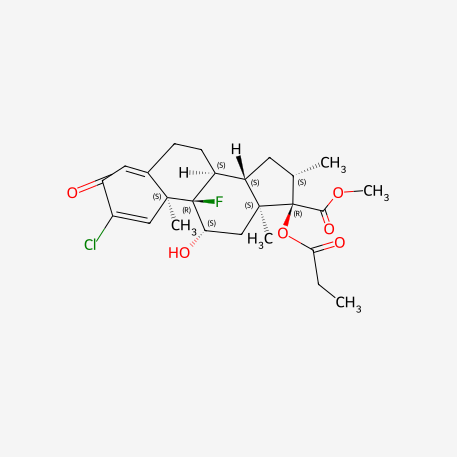 CCC(=O)O[C@]1(C(=O)OC)[C@@H](C)C[C@H]2[C@@H]3CCC4=CC(=O)C(Cl)=C[C@]4(C)[C@@]3(F)[C@@H](O)C[C@@]21C